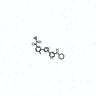 Cc1ccc(C(=O)NC2CC2)cc1-c1cnn(-c2cncc(NC3CCCCC3)c2)c1